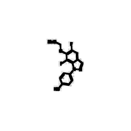 COCOc1c(F)cc2cnn(-c3ccc(O)cc3)c2c1F